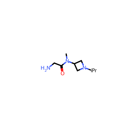 CC(C)N1CC(N(C)C(=O)CN)C1